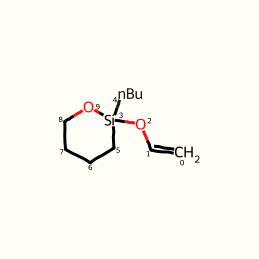 C=CO[Si]1(CCCC)CCCCO1